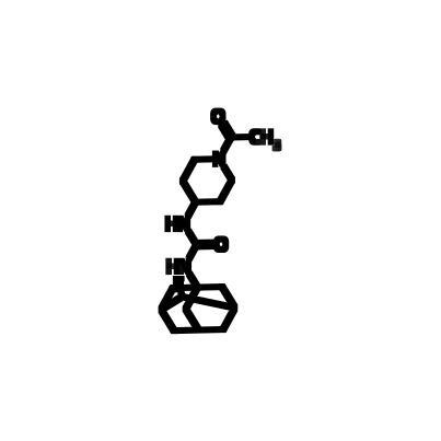 CC(=O)N1CCC(NC(=O)NC23CC4CC(C2)C(F)C(C4)C3)CC1